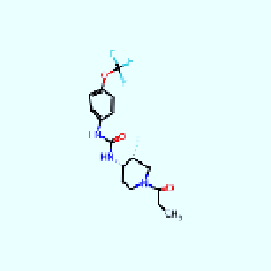 CCC(=O)N1CC[C@H](NC(=O)Nc2ccc(OC(F)(F)F)cc2)[C@H](F)C1